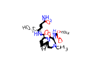 CN1CC[C@H]2CC[C@@H](C(=O)N[C@@H](CCC(N)=O)C(=O)O)N2C(=O)[C@@H](NC(=O)OC(C)(C)C)C1